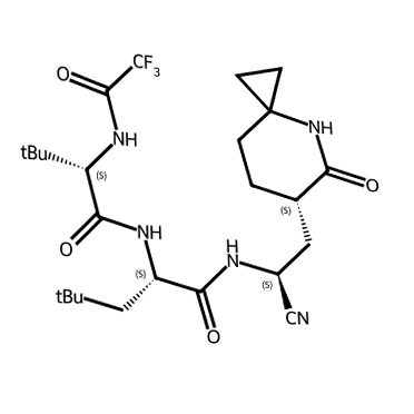 CC(C)(C)C[C@H](NC(=O)[C@@H](NC(=O)C(F)(F)F)C(C)(C)C)C(=O)N[C@H](C#N)C[C@@H]1CCC2(CC2)NC1=O